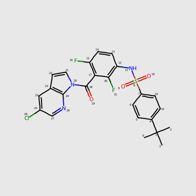 CC(C)(C)c1ccc(S(=O)(=O)Nc2ccc(F)c(C(=O)n3ccc4cc(Cl)cnc43)c2F)cc1